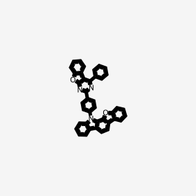 c1ccc(-c2nc(-c3ccc(-n4c5ccccc5c5ccc6c7ccccc7oc6c54)cc3)nc3oc4ccccc4c23)cc1